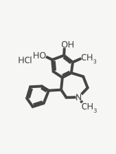 Cc1c(O)c(O)cc2c1CCN(C)CC2c1ccccc1.Cl